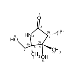 CCC[C@H]1C(=O)N[C@](C)(CO)[C@@]1(C)O